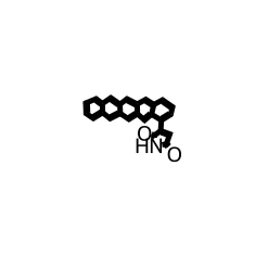 O=C1C=C(c2cccc3cc4cc5cc6ccccc6cc5cc4cc23)C(=O)N1